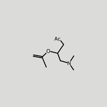 C=C(C)OC(CC(C)=O)CN(C)C